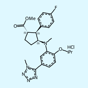 COC(=O)[C@H]1CC[C@H](N(C)c2cc(-c3nnnn3C)ccc2OC(C)C)[C@@H]1c1ccc(F)cc1.Cl